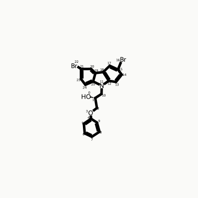 O[C@@H](COc1ccccc1)Cn1c2ccc(Br)cc2c2cc(Br)ccc21